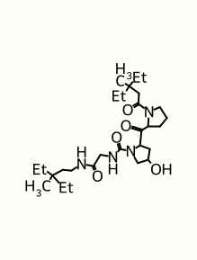 CCC(C)(CC)CCNC(=O)CNC(=O)N1CC(O)CC1C(=O)C1CCCN1C(=O)CC(C)(CC)CC